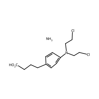 N.O=C(O)CCCc1ccc(N(CCCl)CCCl)cc1